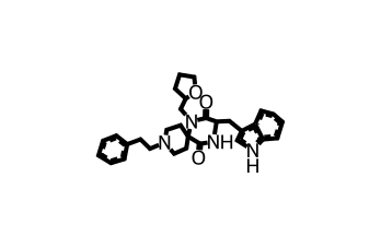 O=C1C(Cc2c[nH]c3ccccc23)NC(=O)C2(CCN(CCc3ccccc3)CC2)N1CC1CCCO1